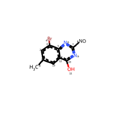 Cc1cc(Br)c2nc(N=O)nc(O)c2c1